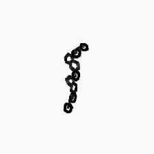 c1cc(OCC2CO2)c2ccc(Oc3cccc4cc(OCC5CO5)ccc34)cc2c1